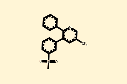 CS(=O)(=O)c1cccc(-c2cc(C(F)(F)F)cnc2-c2ccccc2)c1